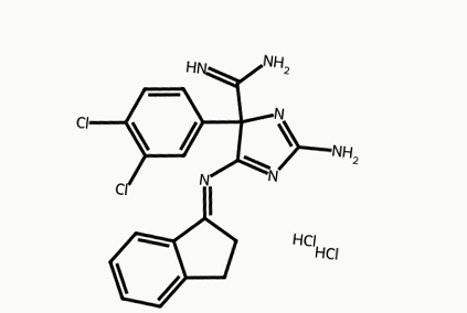 Cl.Cl.N=C(N)C1(c2ccc(Cl)c(Cl)c2)N=C(N)N=C1N=C1CCc2ccccc21